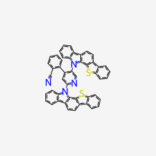 N#Cc1ccccc1-c1cc(-n2c3ccccc3c3ccc4c5ccccc5sc4c32)ncc1-n1c2ccccc2c2ccc3c4ccccc4sc3c21